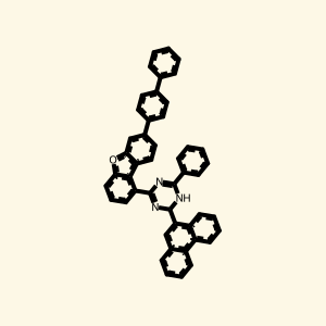 c1ccc(C2=NC(c3cccc4oc5cc(-c6ccc(-c7ccccc7)cc6)ccc5c34)=NC(c3cc4ccccc4c4ccccc34)N2)cc1